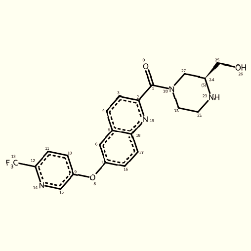 O=C(c1ccc2cc(Oc3ccc(C(F)(F)F)nc3)ccc2n1)N1CCN[C@H](CO)C1